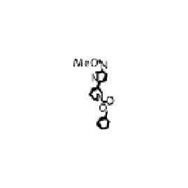 CO/C=N\c1ccc(C2=CCCN(C(=O)OCc3ccccc3)C2)nc1